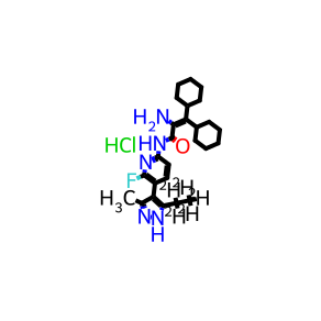 Cl.[2H]C([2H])([2H])C([2H])([2H])c1[nH]nc(C)c1-c1ccc(NC(=O)C(N)=C(C2CCCCC2)C2CCCCC2)nc1F